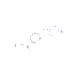 NC(=O)c1ccc(CN2CCNCC2)cn1